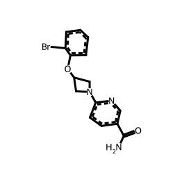 NC(=O)c1ccc(N2CC(Oc3ccccc3Br)C2)nc1